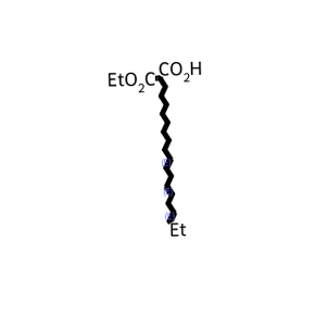 CC/C=C/C/C=C/C/C=C/CCCCCCCCC(C(=O)O)C(=O)OCC